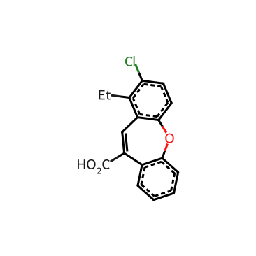 CCc1c(Cl)ccc2c1C=C(C(=O)O)c1ccccc1O2